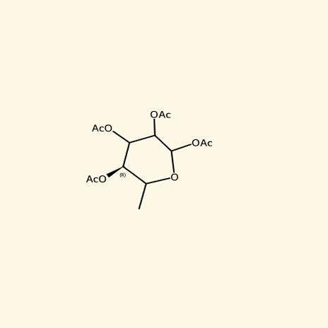 CC(=O)OC1OC(C)[C@@H](OC(C)=O)C(OC(C)=O)C1OC(C)=O